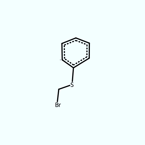 BrCSc1[c]cccc1